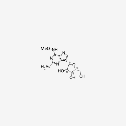 CONc1nc([AsH2])nc2c1ncn2[C@@H]1O[C@H](CO)[C@@H](O)[C@H]1O